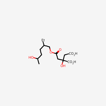 CCC(CCC(C)O)COC(=O)CC(O)(CC(=O)O)C(=O)O